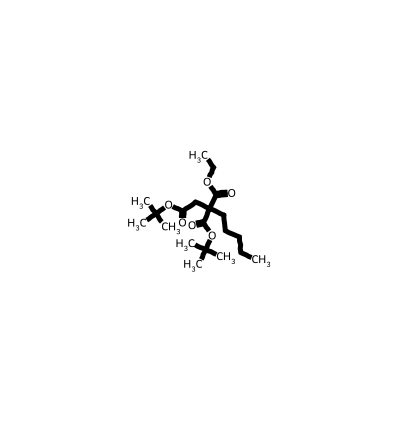 CCCCCC(CC(=O)OC(C)(C)C)(C(=O)OCC)C(=O)OC(C)(C)C